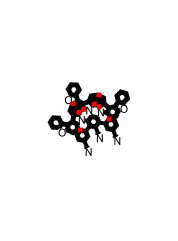 N#Cc1cccc(-c2c(C#N)c(-c3cccc(C#N)c3)c(-n3c4ccccc4c4c5c(ccc43)oc3ccccc35)c(-n3c4ccccc4c4c5c(ccc43)oc3ccccc35)c2-n2c3ccccc3c3c4c(ccc32)oc2ccccc24)c1